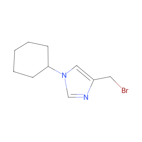 BrCc1cn(C2CCCCC2)cn1